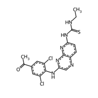 CCNC(=S)Nc1ccc2ncc(Nc3c(Cl)cc(C(C)=O)cc3Cl)nc2n1